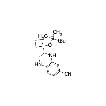 CC(C)(C)[Si](C)(C)OC1(C2CNc3ccc(C#N)cc3N2)CCC1